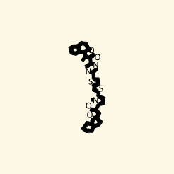 Cc1c(-c2cnc(-c3cc4sc(-c5ccc(-c6cc7ccc8ccccc8c7oc6=O)n5C)cc4s3)cn2)c(=O)oc2ccc3ccccc3c12